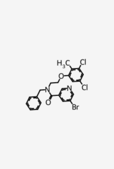 Cc1c(Cl)cc(Cl)cc1OCCN(Cc1ccccc1)C(=O)c1cncc(Br)c1